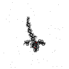 C=C(C)C(=O)OCCCc1cc(-c2ccc(C3CCC(CCC4CCC(CCCCC)CC4)CC3)cc2)c(CC)cc1OCC(COC(=O)CC(=O)OC)(COC(=O)CC(=O)OC)COC(=O)C(=C)C